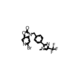 Cn1cc(C(F)(F)F)nc1-c1ccc(Cn2c(=O)oc3cnc(Br)cc32)cc1